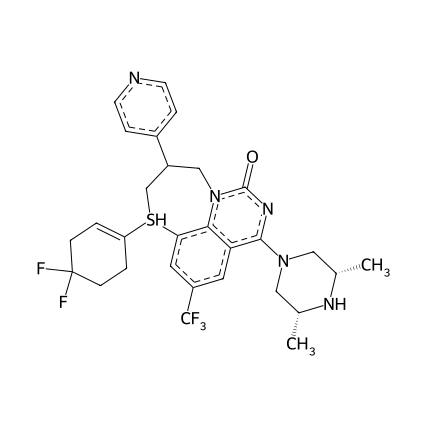 C[C@@H]1CN(c2nc(=O)n3c4c(cc(C(F)(F)F)cc24)[SH](C2=CCC(F)(F)CC2)CC(c2ccncc2)C3)C[C@H](C)N1